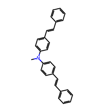 CN(c1ccc(/C=C/c2ccccc2)cc1)c1ccc(/C=C/c2ccccc2)cc1